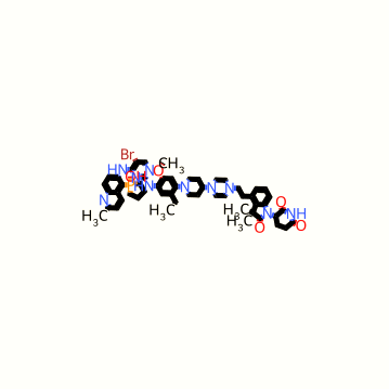 CCc1cc(Nc2ncc(Br)c(Nc3ccc4nc(C)ccc4c3[P]3(O)CCCC3)n2)c(OC)cc1N1CCC(N2CCN(CCc3cccc4c3C(C)(C)C(=O)N4C3CCC(=O)NC3=O)CC2)CC1